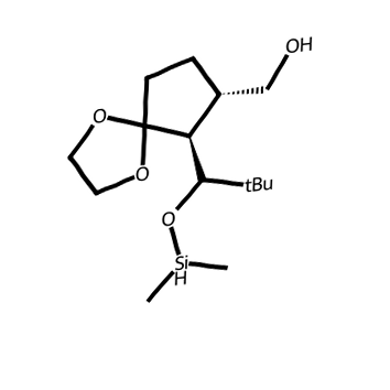 C[SiH](C)OC([C@@H]1[C@@H](CO)CCC12OCCO2)C(C)(C)C